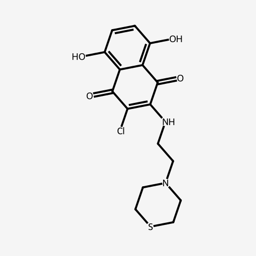 O=C1C(Cl)=C(NCCN2CCSCC2)C(=O)c2c(O)ccc(O)c21